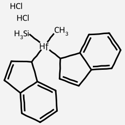 Cl.Cl.[CH3][Hf]([SiH3])([CH]1C=Cc2ccccc21)[CH]1C=Cc2ccccc21